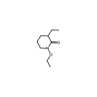 CCON1CCCC(CC)C1=O